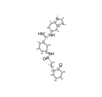 N=C(Nc1ccc2ncsc2c1)c1cccc(NC(=O)/C=C/c2ccccc2Cl)c1